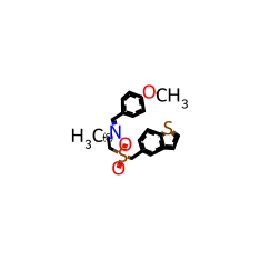 COc1ccc(C=N[C@@H](C)CS(=O)(=O)Cc2ccc3sccc3c2)cc1